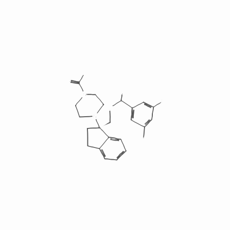 CC(OC[C@]1(N2CCN(C(=O)O)CC2)CCc2ccccc21)c1cc(F)cc(F)c1